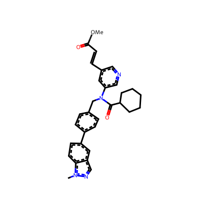 COC(=O)/C=C/c1cncc(N(Cc2ccc(-c3ccc4c(cnn4C)c3)cc2)C(=O)C2CCCCC2)c1